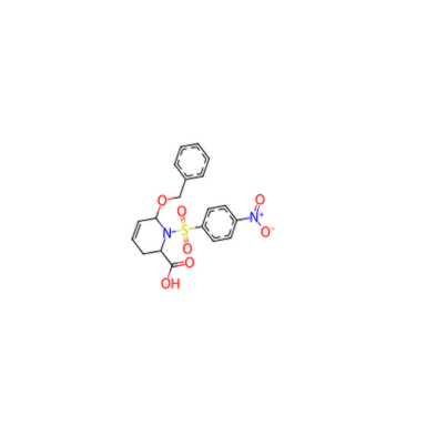 O=C(O)C1CC=CC(OCc2ccccc2)N1S(=O)(=O)c1ccc([N+](=O)[O-])cc1